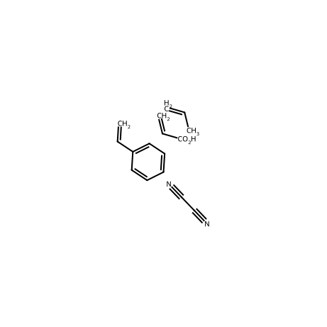 C=CC.C=CC(=O)O.C=Cc1ccccc1.N#CC#N